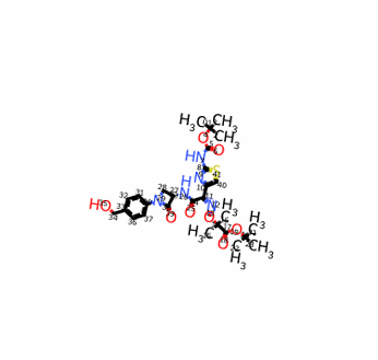 CC(C)(C)OC(=O)Nc1nc(/C(=N/OC(C)(C)C(=O)OC(C)(C)C)C(=O)N[C@H]2CN(c3ccc(CO)cc3)C2=O)cs1